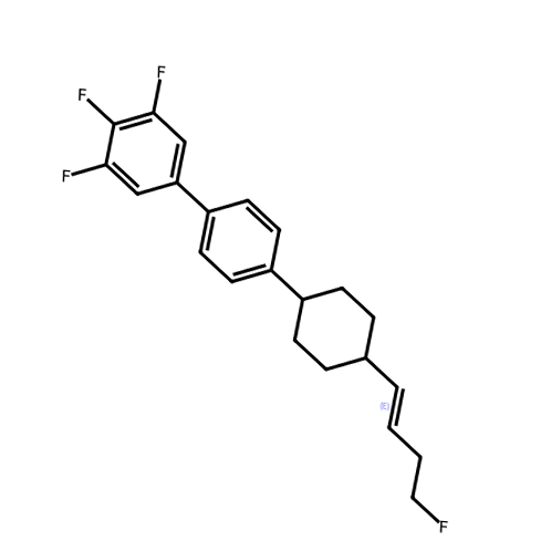 FCC/C=C/C1CCC(c2ccc(-c3cc(F)c(F)c(F)c3)cc2)CC1